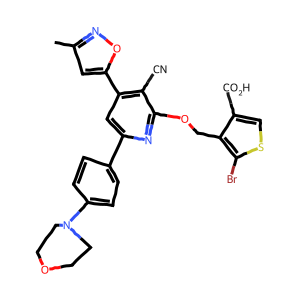 Cc1cc(-c2cc(-c3ccc(N4CCOCC4)cc3)nc(OCc3c(C(=O)O)csc3Br)c2C#N)on1